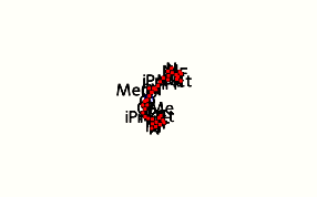 CCN(C(=O)c1cc(F)ccc1Oc1nncnc1N1CCC2(C1)CN([C@H](CCCN(C)C[C@H](COC)OC(=O)/C=C/C(=O)O[C@@H](COC)CN(C)CCC[C@H](C(C)C)N1CC3(CCN(c4ncnnc4Oc4ccc(F)cc4C(=O)N(CC)C(C)C)C3)C1)C(C)C)C2)C(C)C